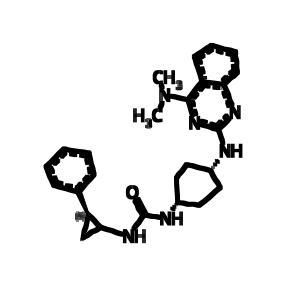 CN(C)c1nc(N[C@H]2CC[C@@H](NC(=O)NC3C[C@H]3c3ccccc3)CC2)nc2ccccc12